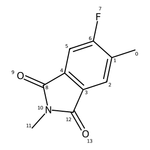 Cc1cc2c(cc1F)C(=O)N(C)C2=O